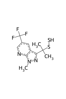 Cn1nc(C(C)(C)SS)c2cc(C(F)(F)F)cnc21